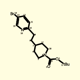 CC(C)(C)OC(=O)N1CCC(CCc2ccc(Br)cn2)CC1